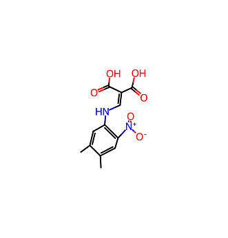 Cc1cc(NC=C(C(=O)O)C(=O)O)c([N+](=O)[O-])cc1C